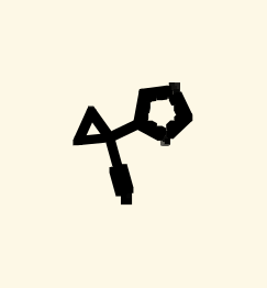 N#CC1(c2cncs2)CC1